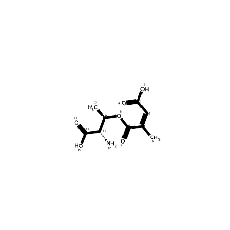 CC(=CC(=O)O)C(=O)O[C@H](C)[C@H](N)C(=O)O